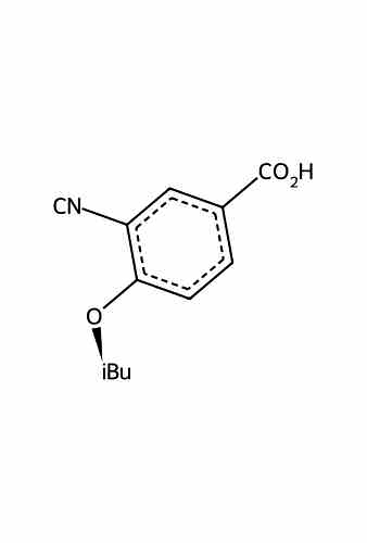 [C-]#[N+]c1cc(C(=O)O)ccc1O[C@H](C)CC